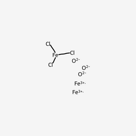 [Cl][Fe]([Cl])[Cl].[Fe+3].[Fe+3].[O-2].[O-2].[O-2]